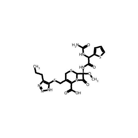 CCCc1nn[nH]c1SCC1=C(C(=O)O)N2C(=O)[C@@](NC(=O)C(NC(N)=O)c3cccs3)(OC)C2SC1